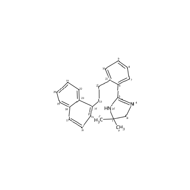 CC1(C)CN=C(c2ccccc2CCc2cccc3ccccc23)N1